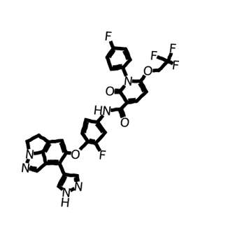 O=C(Nc1ccc(Oc2cc3c4c(cnn4CC3)c2-c2cn[nH]c2)c(F)c1)c1ccc(OCC(F)(F)F)n(-c2ccc(F)cc2)c1=O